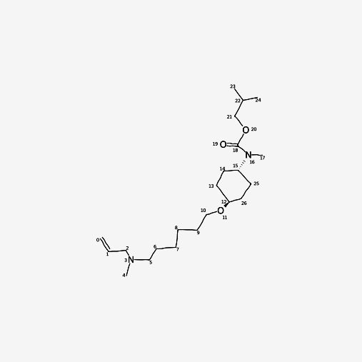 C=CCN(C)CCCCCCO[C@H]1CC[C@H](N(C)C(=O)OCC(C)C)CC1